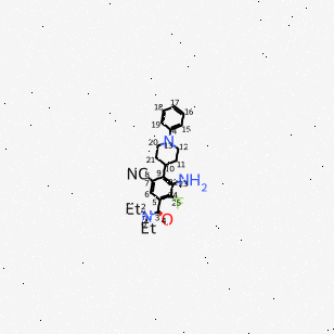 CCN(CC)C(=O)c1cc(C#N)c(C2CCN(c3ccccc3)CC2)c(N)c1F